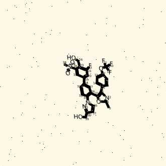 Cc1nc(-c2ccc(OC(F)(F)F)cc2)c(-c2cc(-c3cc(F)c(CO)c(S(C)(=O)=O)c3)ccc2-n2ccc(CO)n2)o1